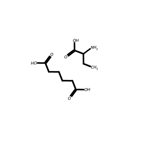 CCC(N)C(=O)O.O=C(O)CCCCC(=O)O